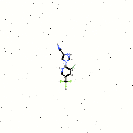 N#Cc1[c]n(-c2ncc(C(F)(F)F)cc2Cl)cn1